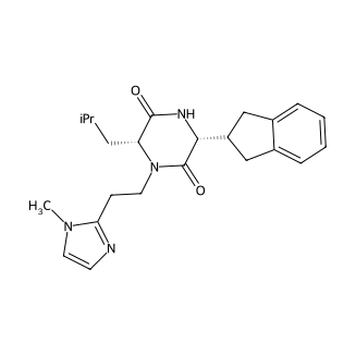 CC(C)C[C@@H]1C(=O)N[C@H](C2Cc3ccccc3C2)C(=O)N1CCc1nccn1C